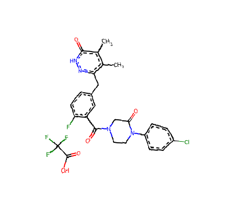 Cc1c(Cc2ccc(F)c(C(=O)N3CCN(c4ccc(Cl)cc4)C(=O)C3)c2)n[nH]c(=O)c1C.O=C(O)C(F)(F)F